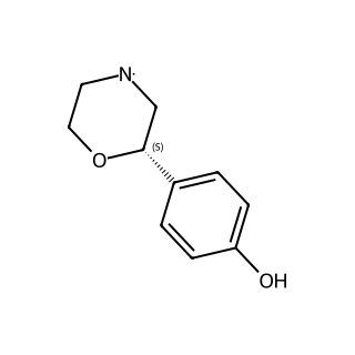 Oc1ccc([C@H]2C[N]CCO2)cc1